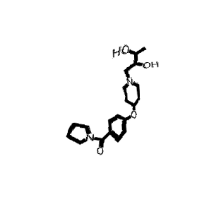 CC(O)C(O)CN1CCC(Oc2ccc(C(=O)N3CCCC3)cc2)CC1